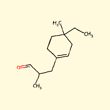 CCC1(C)CC=C(CC(C)C=O)CC1